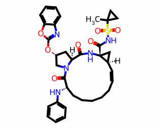 CC1(S(=O)(=O)NC(=O)[C@@]23C[C@H]2/C=C\CCCCC[C@H](Nc2ccccc2)C(=O)N2C[C@H](Oc4nc5ccccc5o4)C[C@H]2C(=O)N3)CC1